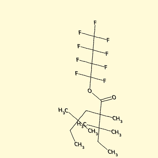 CCC(C)(C)CC(C)(C(=O)OC(F)(F)C(F)(F)C(F)(F)C(F)(F)F)C(C)(C)CC